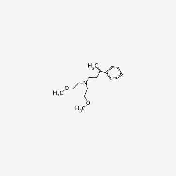 C=C(CCN(CCOC)CCOC)c1ccccc1